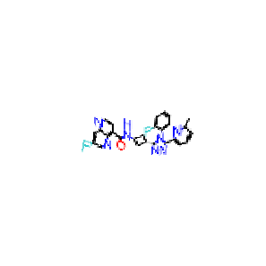 Cc1cccc(-c2nnc([C@H]3C[C@H](NC(=O)c4ccnc5cc(F)cnc45)C3)n2-c2ccccc2F)n1